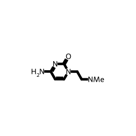 CNCCn1ccc(N)nc1=O